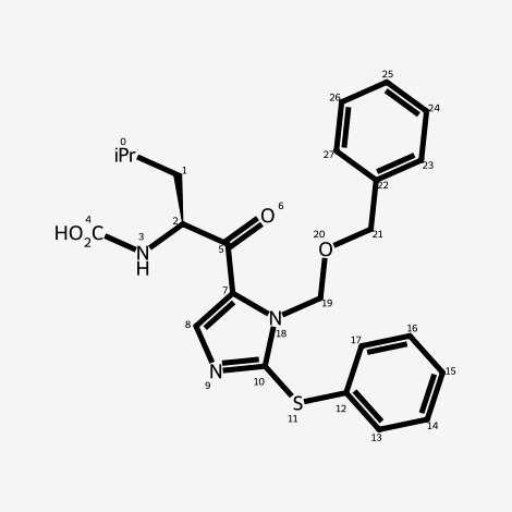 CC(C)C[C@H](NC(=O)O)C(=O)c1cnc(Sc2ccccc2)n1COCc1ccccc1